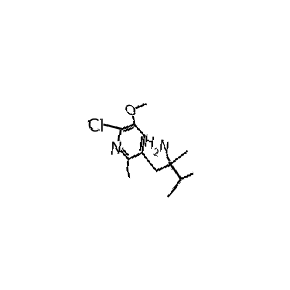 COc1cc(CC(C)(N)C(C)C)c(C)nc1Cl